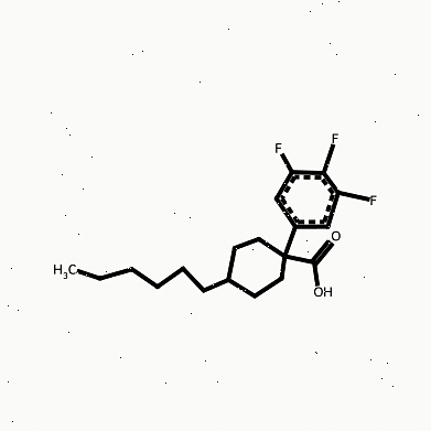 CCCCCCC1CCC(C(=O)O)(c2cc(F)c(F)c(F)c2)CC1